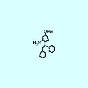 COc1ccc(/C(=C/c2ccccc2)c2ccccc2)c(N)c1